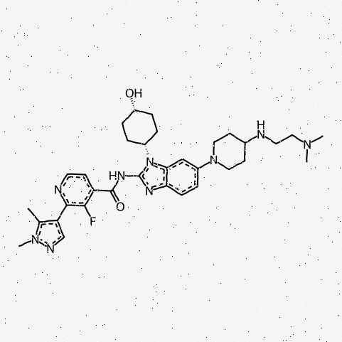 Cc1c(-c2nccc(C(=O)Nc3nc4ccc(N5CCC(NCCN(C)C)CC5)cc4n3[C@H]3CC[C@@H](O)CC3)c2F)cnn1C